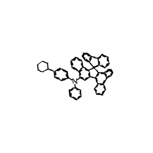 c1ccc(N(c2ccc(C3CCCCC3)cc2)c2cc3c(c4ccccc24)C2(c4ccccc4-c4ccccc42)c2c-3c3ccccc3c3ccccc23)cc1